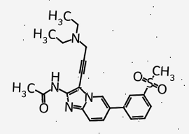 CCN(CC)CC#Cc1c(NC(C)=O)nc2ccc(-c3cccc(S(C)(=O)=O)c3)cn12